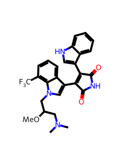 COC(CN(C)C)Cn1cc(C2=C(c3c[nH]c4ccccc34)C(=O)NC2=O)c2cccc(C(F)(F)F)c21